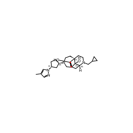 Cc1cnn([C@H]2CC[C@@H](N3CC[C@]45CCN(CC6CC6)[C@H](Cc6ccc(O)cc64)[C@]5(O)CC3)C2)c1